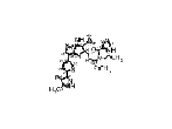 CCCN(C(=O)c1nnc[nH]1)[C@H](CC)CCc1nc2c(-c3ccc(-c4n[nH]c(C)c4F)nc3)cnn2c(N)c1C1CC1